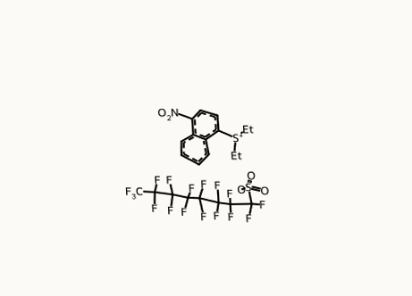 CC[S+](CC)c1ccc([N+](=O)[O-])c2ccccc12.O=S(=O)([O-])C(F)(F)C(F)(F)C(F)(F)C(F)(F)C(F)(F)C(F)(F)C(F)(F)C(F)(F)F